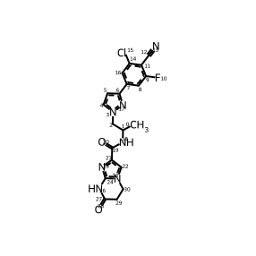 CC(Cn1ccc(-c2cc(F)c(C#N)c(Cl)c2)n1)NC(=O)c1cn2c(n1)NC(=O)CC2